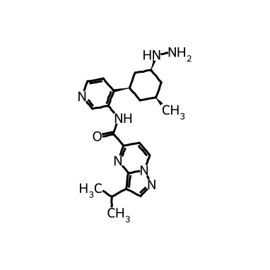 CC(C)c1cnn2ccc(C(=O)Nc3cnccc3[C@@H]3C[C@H](C)C[C@H](NN)C3)nc12